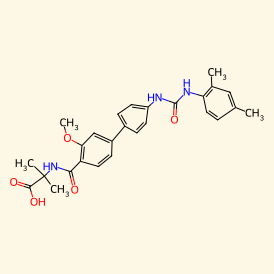 COc1cc(-c2ccc(NC(=O)Nc3ccc(C)cc3C)cc2)ccc1C(=O)NC(C)(C)C(=O)O